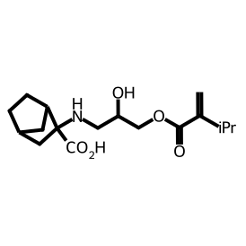 C=C(C(=O)OCC(O)CNC1(C(=O)O)CC2CCC1C2)C(C)C